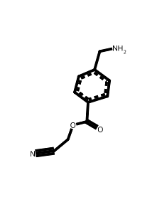 N#CCOC(=O)c1ccc(CN)cc1